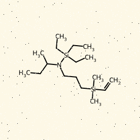 C=C[Si](C)(C)CCCN(C(C)CC)[Si](CC)(CC)CC